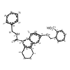 O=C(O)c1ccccc1COc1ccc2c(c1)c1c(n2C(=O)NCc2ccccc2)CCCC1